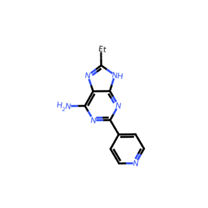 CCc1nc2c(N)nc(-c3ccncc3)nc2[nH]1